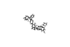 c1ccc(-c2nc(-n3ccc4cc(-c5ccc6c(c5)c5ccccc5n6-c5ccccc5)ccc43)nc3ccccc23)cc1